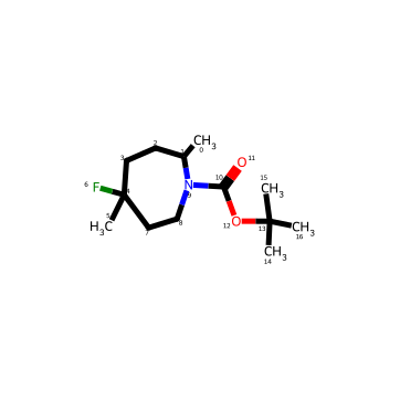 CC1CCC(C)(F)CCN1C(=O)OC(C)(C)C